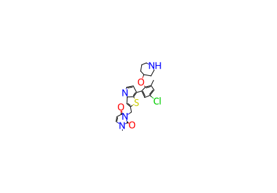 Cc1cc(Cl)cc(-c2ccnc3cc(Cn4c(=O)ccn(C)c4=O)sc23)c1OC1CCCNCC1